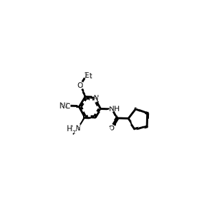 CCOc1nc(NC(=O)C2CCCC2)cc(N)c1C#N